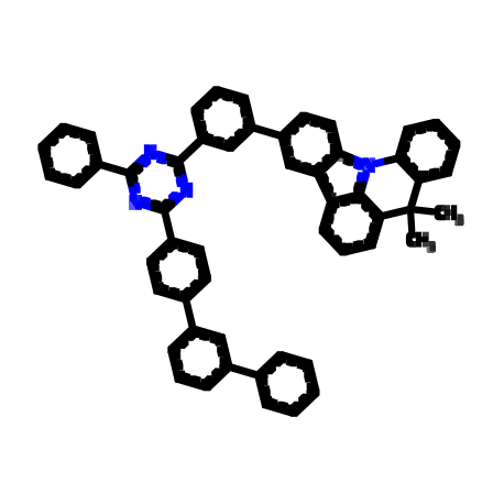 CC1(C)c2ccccc2-n2c3ccc(-c4cccc(-c5nc(-c6ccccc6)nc(-c6ccc(-c7cccc(-c8ccccc8)c7)cc6)n5)c4)cc3c3cccc1c32